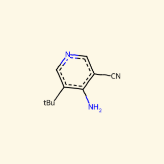 CC(C)(C)c1cncc(C#N)c1N